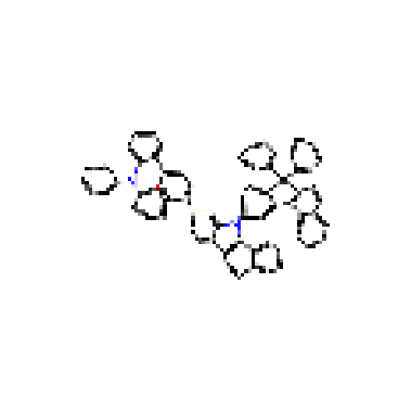 c1ccc(N(c2ccccc2)c2ccccc2-c2ccc(-c3ccc4c5ccc6ccccc6c5n(-c5ccc6c(c5)-c5c(ccc7ccccc57)C6(c5ccccc5)c5ccccc5)c4c3)cc2)cc1